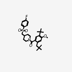 COc1cc(CC(C)(C)C)c(C(=O)N2CCC(CS(=O)(=O)c3ccc(F)cc3)CC2)cc1C(C)(C)C